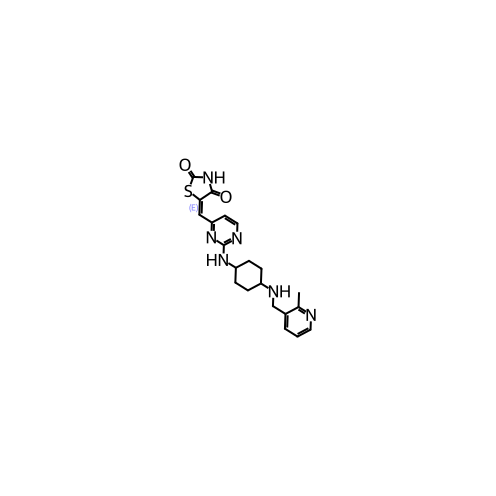 Cc1ncccc1CNC1CCC(Nc2nccc(/C=C3/SC(=O)NC3=O)n2)CC1